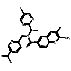 Cc1cc2cc(C(=O)N(Cc3ccc(C(F)F)cn3)[C@H](C)c3ncc(F)cn3)ccc2nc1N